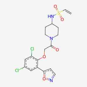 C=CS(=O)(=O)NC1CCN(C(=O)COc2c(Cl)cc(Cl)cc2-c2ccno2)CC1